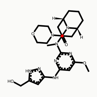 COc1cc(Nc2cc(CO)[nH]n2)nc(N(C)C2C[C@H]3CCC[C@@H](C2)N3C(=O)N2CCOCC2)n1